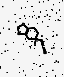 C[C@@]1(N=C=O)CCC2=C(C1)OCO2